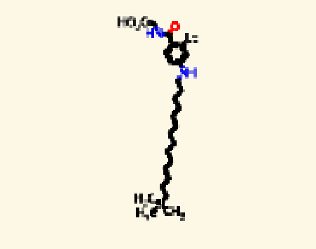 CCc1cc(NCCCCCCCCCCCCCC[Si](C)(C)C)ccc1C(=O)NCC(=O)O